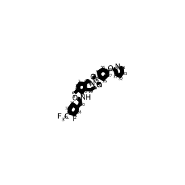 Cc1ccc2c(c1NC(=O)Cc1ccc(C(F)(F)F)c(F)c1)CCN(S(=O)(=O)c1ccc(Oc3ccccn3)cc1)C2